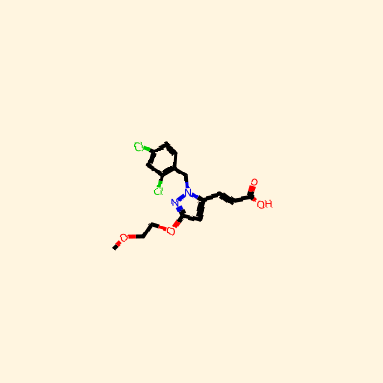 COCCOc1cc(C=CC(=O)O)n(Cc2ccc(Cl)cc2Cl)n1